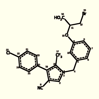 N#Cc1cn(Cc2cccc(OC(CBr)C(=O)O)c2)c(C(F)(F)F)c1-c1ccc(Cl)cc1